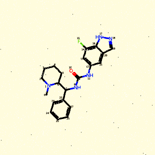 CN1CCCCC1C(NC(=O)Nc1cc(F)c2[nH]ncc2c1)c1ccccc1